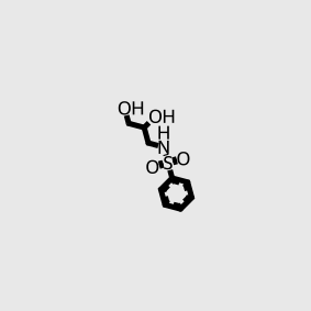 O=S(=O)(NCC(O)CO)c1ccccc1